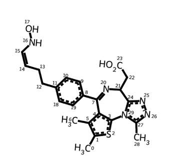 Cc1sc2c(c1C)C(c1ccc(CC/C=C\NO)cc1)=NC(CC(=O)O)c1nnc(C)n1-2